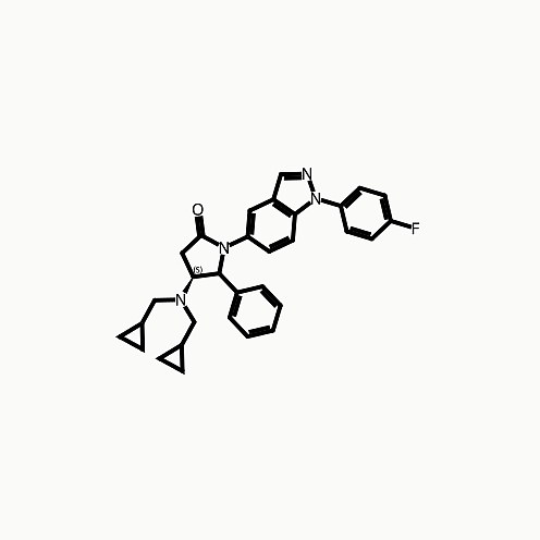 O=C1C[C@H](N(CC2CC2)CC2CC2)C(c2ccccc2)N1c1ccc2c(cnn2-c2ccc(F)cc2)c1